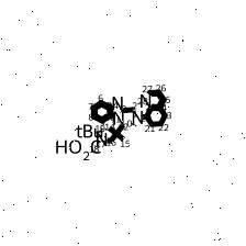 CN(Cc1nc2ccccc2n1CC(C)(C)CN(C(=O)O)C(C)(C)C)C1CCCc2cccnc21